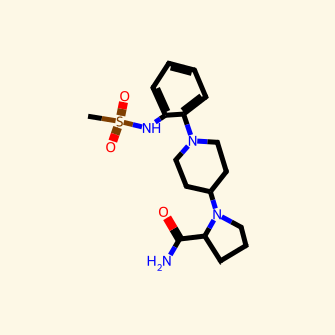 CS(=O)(=O)Nc1ccccc1N1CCC(N2CC[CH]C2C(N)=O)CC1